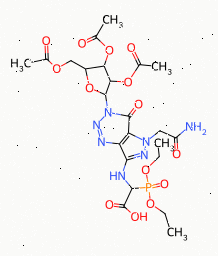 CCOP(=O)(OCC)C(Nc1nn(CC(N)=O)c2c(=O)n(C3OC(COC(C)=O)C(OC(C)=O)C3OC(C)=O)nnc12)C(=O)O